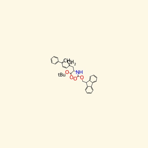 C=C(/C=C\C(=C)c1ccccc1)CC(NC(=O)OCC1c2ccccc2-c2ccccc21)C(=O)OC(C)(C)C